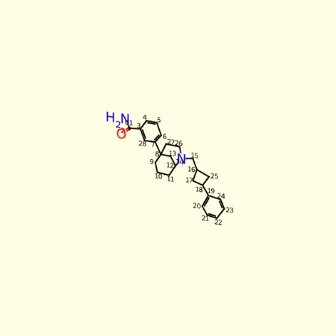 NC(=O)c1cccc(C23CCCC(C2)N(CC2CC(c4ccccc4)C2)CC3)c1